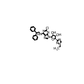 CCn1cnc([C@H]2O[C@@H](n3cnc4c(NCC(c5ccccc5)c5ccccc5)nc(Cl)nc43)[C@H](O)[C@@H]2O)n1